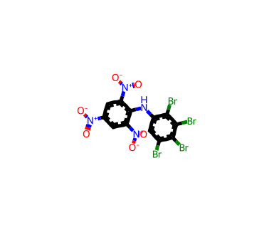 O=[N+]([O-])c1cc([N+](=O)[O-])c(Nc2cc(Br)c(Br)c(Br)c2Br)c([N+](=O)[O-])c1